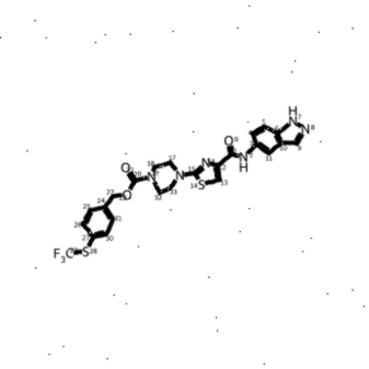 O=C(Nc1ccc2[nH]ncc2c1)c1csc(N2CCN(C(=O)OCc3ccc(SC(F)(F)F)cc3)CC2)n1